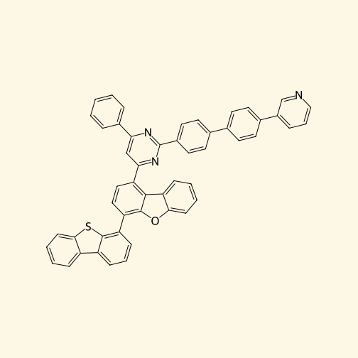 c1ccc(-c2cc(-c3ccc(-c4cccc5c4sc4ccccc45)c4oc5ccccc5c34)nc(-c3ccc(-c4ccc(-c5cccnc5)cc4)cc3)n2)cc1